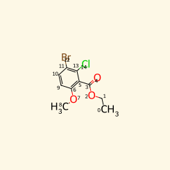 CCOC(=O)c1c(OC)ccc(Br)c1Cl